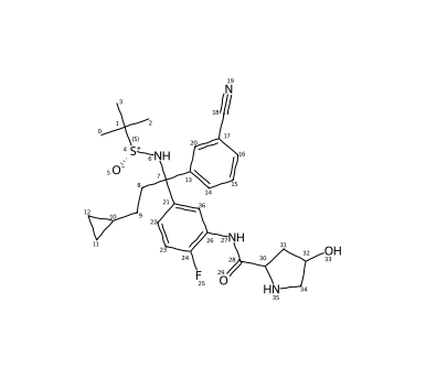 CC(C)(C)[S@@+]([O-])NC(CCC1CC1)(c1cccc(C#N)c1)c1ccc(F)c(NC(=O)C2CC(O)CN2)c1